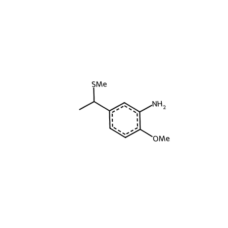 COc1ccc(C(C)SC)cc1N